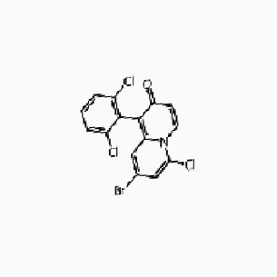 O=c1ccn2c(Cl)cc(Br)cc2c1-c1c(Cl)cccc1Cl